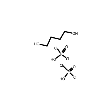 O=P(O)(Cl)Cl.O=P(O)(Cl)Cl.OCCCCO